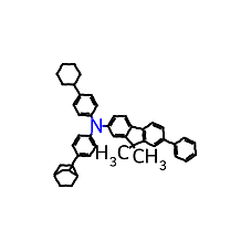 CC1(C)c2cc(-c3ccccc3)ccc2-c2ccc(N(c3ccc(C4CCCCC4)cc3)c3ccc(C4CC5CCC4CC5)cc3)cc21